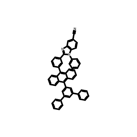 N#Cc1ccc2c(c1)nc(-c1cccc(-c3c4ccccc4c(-c4cc(-c5ccccc5)cc(-c5ccccc5)c4)c4ccccc34)c1)n2-c1ccccc1